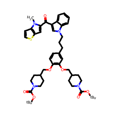 Cn1c(C(=O)c2cn(CCCc3ccc(OCC4CCN(C(=O)OC(C)(C)C)CC4)c(OCC4CCN(C(=O)OC(C)(C)C)CC4)c3)c3ccccc23)cc2sccc21